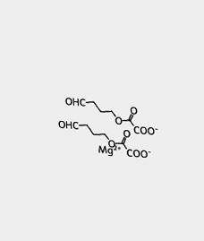 O=CCCCOC(=O)C(=O)[O-].O=CCCCOC(=O)C(=O)[O-].[Mg+2]